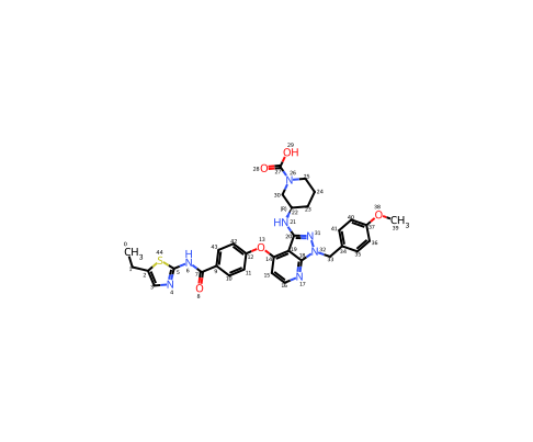 CCc1cnc(NC(=O)c2ccc(Oc3ccnc4c3c(N[C@@H]3CCCN(C(=O)O)C3)nn4Cc3ccc(OC)cc3)cc2)s1